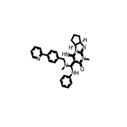 CN(Cc1ccc(-c2ccccn2)cc1)/C(Nc1ccccc1)=c1/c(=O)n(C)c2n(c1=N)[C@H]1CCC[C@H]1N=2